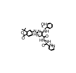 CC1(C)OC(=O)c2ccc(Nc3ncc(C(=O)NNC(=O)c4cccnn4)c(N[C@H](CO)c4ccccc4)n3)cc21